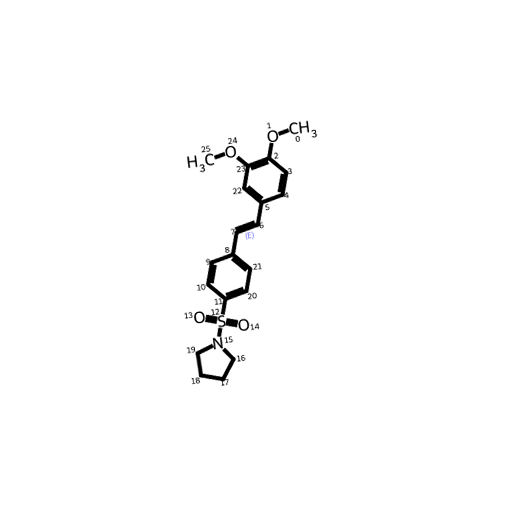 COc1ccc(/C=C/c2ccc(S(=O)(=O)N3CCCC3)cc2)cc1OC